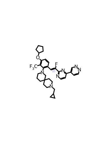 F/C(=C\c1ccc(OC2CCCC2)c(C(F)(F)F)c1N1CCCC2(CCN(CC3CC3)CC2)C1)c1nccc(-c2ccnnc2)n1